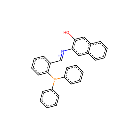 Oc1cc2ccccc2cc1/N=C/c1ccccc1P(c1ccccc1)c1ccccc1